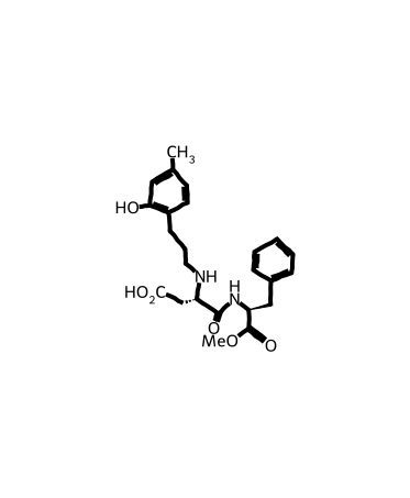 COC(=O)[C@H](Cc1ccccc1)NC(=O)[C@H](CC(=O)O)NCCCc1ccc(C)cc1O